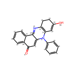 O=c1cc2n(-c3ccccc3)c3c(nc-2c2ccccc12)CCC(O)=C3